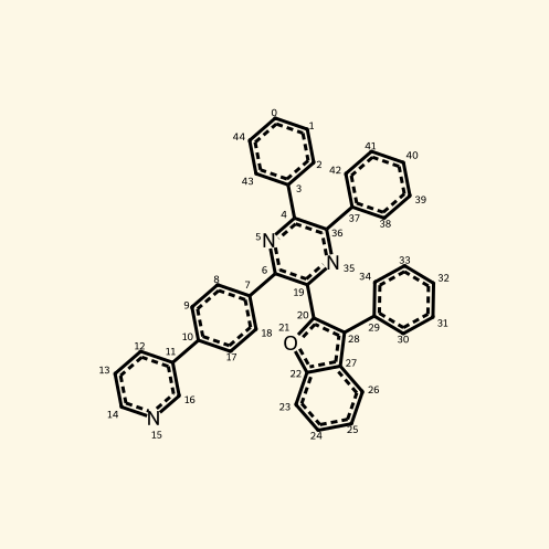 c1ccc(-c2nc(-c3ccc(-c4cccnc4)cc3)c(-c3oc4ccccc4c3-c3ccccc3)nc2-c2ccccc2)cc1